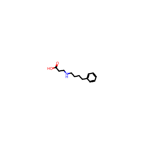 O=C(O)CCNCCCCc1ccccc1